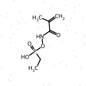 C=C(C)C(=O)NOP(=O)(O)CC